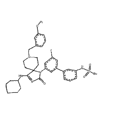 CCC(C)S(=O)(=O)Nc1cccc(-c2cc(F)cc(N3C(=O)N=C(NC4CCCCC4)C34CCN(Cc3cccc(OC(C)C)c3)CC4)c2)c1